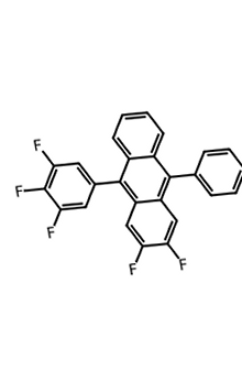 Fc1cc2c(-c3ccccc3)c3ccccc3c(-c3cc(F)c(F)c(F)c3)c2cc1F